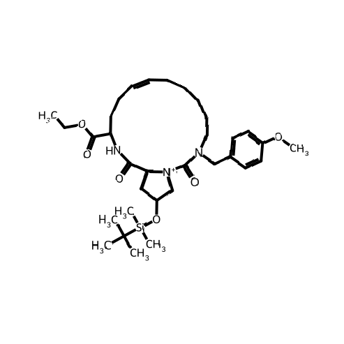 CCOC(=O)C1CCC=CCCCCCN(Cc2ccc(OC)cc2)C(=O)[N+]2CC(O[Si](C)(C)C(C)(C)C)CC2C(=O)N1